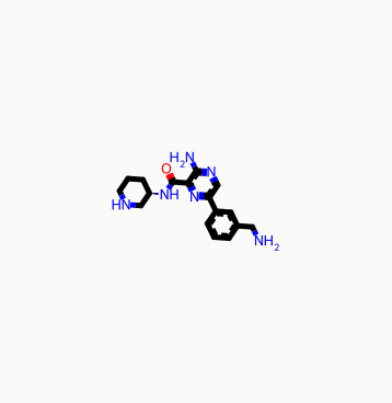 NCc1cccc(-c2cnc(N)c(C(=O)N[C@H]3CCCNC3)n2)c1